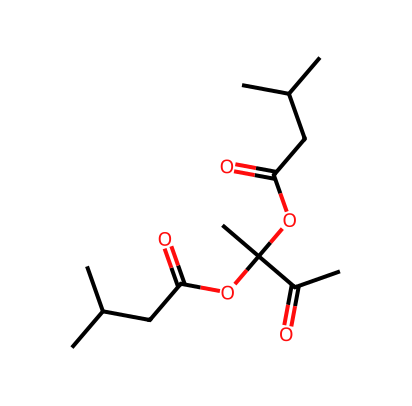 CC(=O)C(C)(OC(=O)CC(C)C)OC(=O)CC(C)C